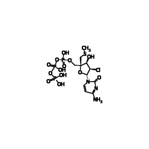 CSC[C@]1(COP(=O)(O)OP(=O)(O)OP(=O)(O)O)O[C@@H](n2ccc(N)nc2=O)[C@H](Cl)[C@@H]1O